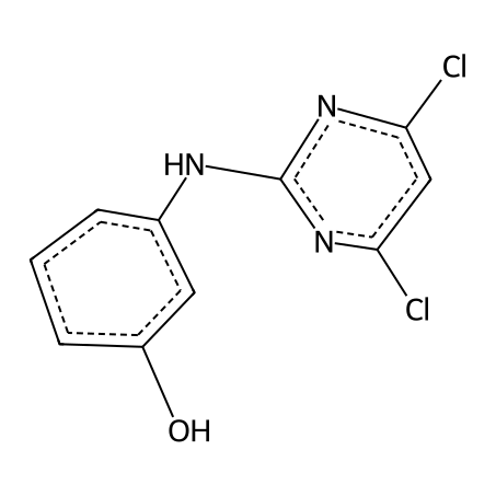 Oc1cccc(Nc2nc(Cl)cc(Cl)n2)c1